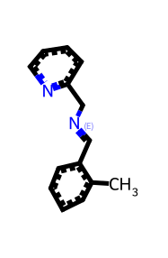 Cc1ccccc1/C=N/Cc1ccccn1